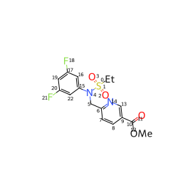 CCS(=O)(=O)N(Cc1ccc(C(=O)OC)cn1)c1cc(F)cc(F)c1